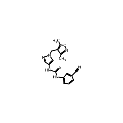 Cc1noc(C)c1Cn1cc(NC(=S)Nc2cccc(C#N)c2)cn1